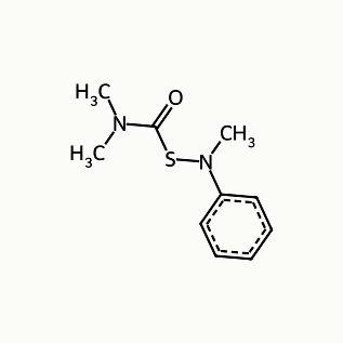 CN(C)C(=O)SN(C)c1ccccc1